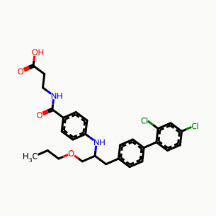 CCCOCC(Cc1ccc(-c2ccc(Cl)cc2Cl)cc1)Nc1ccc(C(=O)NCCC(=O)O)cc1